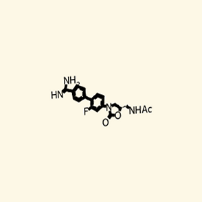 CC(=O)NC[C@H]1CN(c2ccc(-c3ccc(C(=N)N)cc3)c(F)c2)C(=O)O1